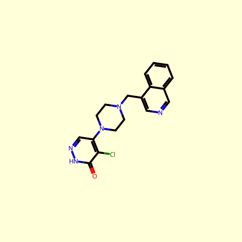 O=c1[nH]ncc(N2CCN(Cc3cncc4ccccc34)CC2)c1Cl